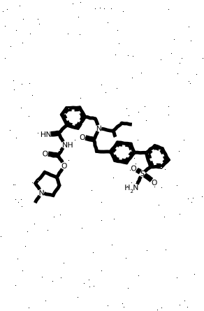 CCC(C)N(Cc1cccc(C(=N)NC(=O)OC2CCN(C)CC2)c1)C(=O)Cc1ccc(-c2ccccc2S(N)(=O)=O)cc1